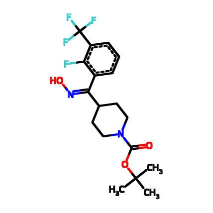 CC(C)(C)OC(=O)N1CCC(C(=NO)c2cccc(C(F)(F)F)c2F)CC1